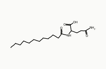 CCCCCCCCCCCC(=O)NC(CCC(N)=O)C(=O)O